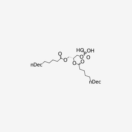 CCCCCCCCCCCCCCC(=O)OC[C@H](COP(=O)(O)O)OC(=O)CCCCCCCCCCCCCC